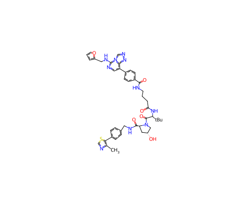 Cc1ncsc1-c1ccc(CNC(=O)[C@@H]2C[C@@H](O)CN2C(=O)C(NC(=O)CCCNC(=O)c2ccc(-c3cnc(NCc4ccco4)n4cnnc34)cc2)C(C)(C)C)cc1